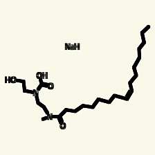 CCCCCCCC/C=C\CCCCCCCC(=O)N(C)CCN(CCO)C(=O)O.[NaH]